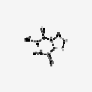 CNC(=O)C1CCON1C(=O)OC(C)(C)C